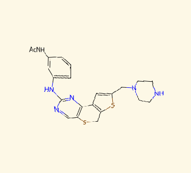 CC(=O)Nc1cccc(Nc2ncc3c(n2)-c2cc(CN4CCNCC4)sc2CS3)c1